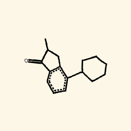 CC1Cc2c(cccc2C2CCCCC2)C1=O